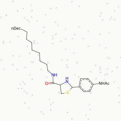 CCCCCCCCCCCCCCCCCCNC(=O)C1CSC(c2ccc(NC(C)=O)cc2)N1